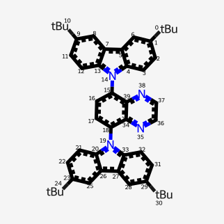 CC(C)(C)c1ccc2c(c1)c1cc(C(C)(C)C)ccc1n2-c1ccc(-n2c3ccc(C(C)(C)C)cc3c3cc(C(C)(C)C)ccc32)c2nccnc12